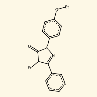 CCOc1ccc(N2N=C(c3cccnc3)C(CC)C2=O)cc1